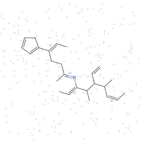 C=CC(C(C)/C=C\C)C(C)C(=C/C)/N=C(\C)CC/C(=C\C)C1=CC=CC1